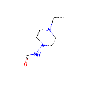 CCN1CCN(N[C]=O)CC1